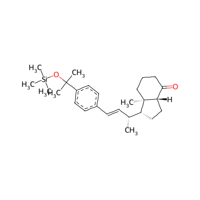 C[C@H](/C=C/c1ccc(C(C)(C)O[Si](C)(C)C)cc1)[C@H]1CC[C@H]2C(=O)CCC[C@]12C